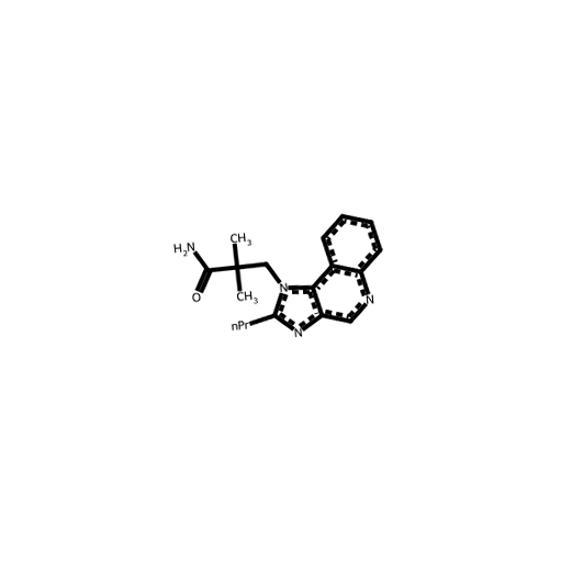 CCCc1nc2cnc3ccccc3c2n1CC(C)(C)C(N)=O